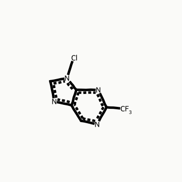 FC(F)(F)c1ncc2ncn(Cl)c2n1